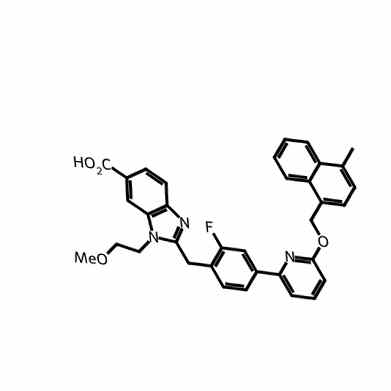 COCCn1c(Cc2ccc(-c3cccc(OCc4ccc(C)c5ccccc45)n3)cc2F)nc2ccc(C(=O)O)cc21